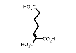 O=C(O)CCCC=C(C(=O)O)C(=O)O